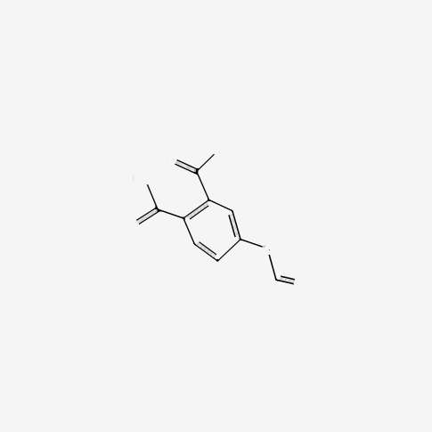 O=CNc1ccc(C(=O)O)c(C(=O)O)c1